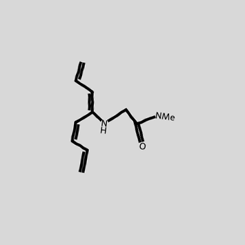 C=C/C=C\C(=C/C=C)NCC(=O)NC